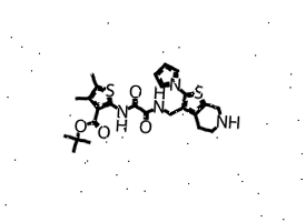 Cc1sc(NC(=O)C(=O)NCc2c(-n3cccc3)sc3c2CCNC3)c(C(=O)OC(C)(C)C)c1C